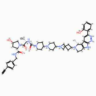 C#Cc1ccc(CNC(=O)[C@@H]2C[C@@H](O)CN2C(=O)[C@@H](NC(=O)N2CCC(N3CCC(N4CC5(CC(N6CCc7[nH]c8nnc(-c9ccccc9O)cc8c7[C@H]6C)C5)C4)CC3)CC2)C(C)(C)C)cc1